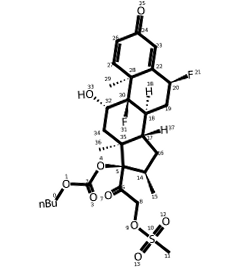 CCCCOC(=O)O[C@]1(C(=O)COS(C)(=O)=O)[C@H](C)C[C@H]2[C@@H]3C[C@H](F)C4=CC(=O)C=C[C@]4(C)[C@@]3(F)[C@@H](O)C[C@@]21C